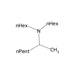 CCCCCCN(CCCCCC)C(C)CCCCC